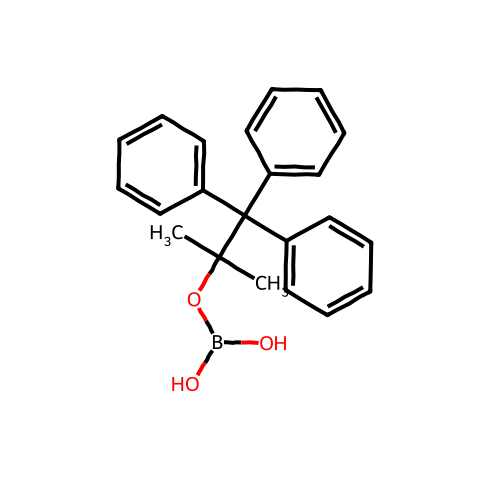 CC(C)(OB(O)O)C(c1ccccc1)(c1ccccc1)c1ccccc1